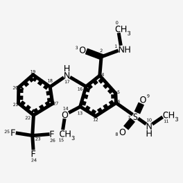 CNC(=O)c1cc(S(=O)(=O)NC)cc(OC)c1Nc1cccc(C(F)(F)F)c1